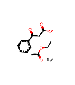 CCOC(C)=O.O=C([O-])CC(=O)c1ccccc1.[Na+]